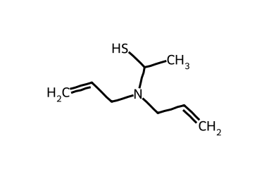 C=CCN(CC=C)C(C)S